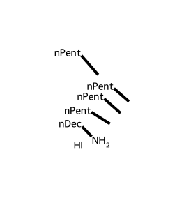 CCCCCC.CCCCCC.CCCCCC.CCCCCC.CCCCCCCCCCN.I